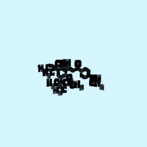 CCOc1c(C(C)(C)CC)cc(C(C)(C)CC)c(O)c1/C=C/C(=O)c1ccc(NC)cc1